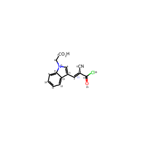 N#C/C(=C\c1cn(CC(=O)O)c2ccccc12)C(=O)Cl